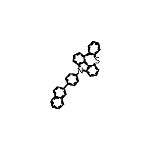 c1ccc2cc(-c3ccc(-n4c5cccc6sc7ccccc7c7cccc4c7c65)cc3)ccc2c1